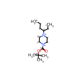 CCCC(CC)N1CCN(C(=O)OC(C)(C)C)CC1